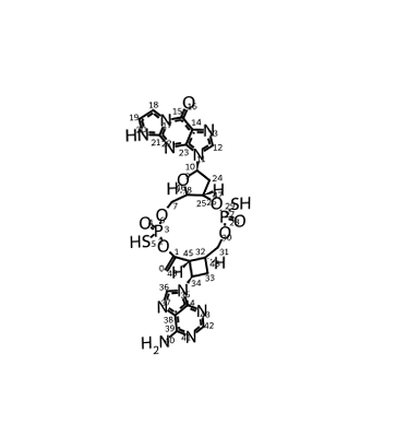 C=C1OP(=O)(S)OC[C@H]2O[C@@H](n3cnc4c(=O)n5cc[nH]c5nc43)C[C@@H]2OP(=O)(S)OC[C@H]2C[C@@H](n3cnc4c(N)ncnc43)[C@H]12